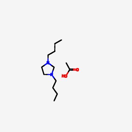 CC(=O)O.CCCCN1CCN(CCCC)C1